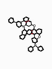 C1=CC(Oc2ccc3c4c(cccc24)Oc2cc(N(c4ccccc4)c4ccccc4)ccc2-3)CC(N(c2ccc(-c3ccccc3)cc2-c2ccccc2)c2cc3ccccc3c3ccccc23)=C1